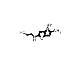 CC(C)n1c(N)cc2oc(NCCO)cc21